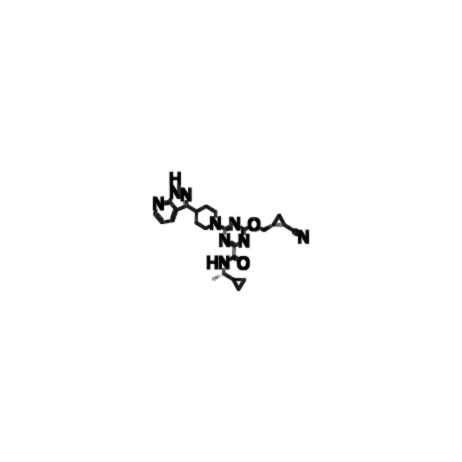 C[C@H](NC(=O)c1nc(OC[C@H]2CC2C#N)nc(N2CCC(c3n[nH]c4ncccc34)CC2)n1)C1CC1